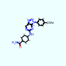 COc1ccc(-n2nnc3cnc(NC4CCC(C(N)=O)CC4)nc32)cc1